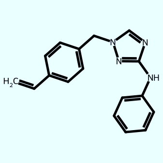 C=Cc1ccc(Cn2cnc(Nc3ccccc3)n2)cc1